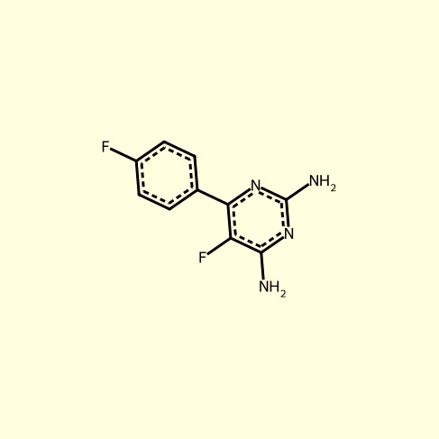 Nc1nc(N)c(F)c(-c2ccc(F)cc2)n1